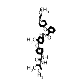 CCC(CC)NC(=O)Nc1ccc(Oc2ccc(NC(=O)c3ccccc3OC3CCN(CCOC)CC3)cc2C)cc1